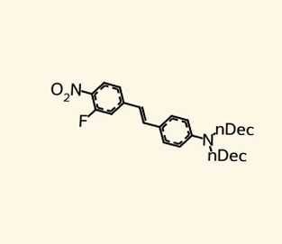 CCCCCCCCCCN(CCCCCCCCCC)c1ccc(C=Cc2ccc([N+](=O)[O-])c(F)c2)cc1